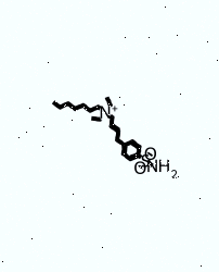 CCCCCCC[N+](CC)(CC)C/C=C/Cc1ccc(S(N)(=O)=O)cc1